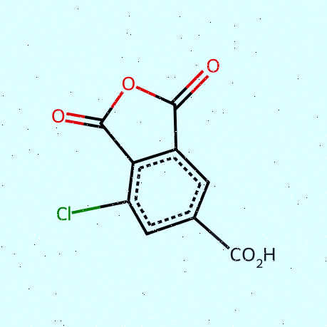 O=C(O)c1cc(Cl)c2c(c1)C(=O)OC2=O